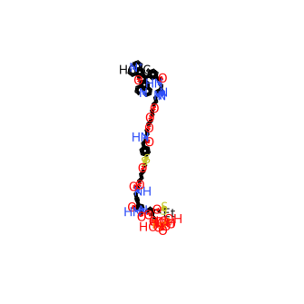 CCS(=S)CO[C@@H]1C[C@H](n2cc(C#CCNC(=O)OCCCCOCSSc3ccc(CC(=O)NCCOCCOCCOCCCn4cc(CNC(=O)c5ccc(C(=O)O)c(C6=c7cc8c9c(c7Oc7c6cc6c%10c7CCCN%10CCC6)CCC[N+]=9CCC8)c5)nn4)cc3)c(=O)[nH]c2=O)O[C@@H]1COP(=O)(O)OP(=O)(O)OP(=O)(O)O